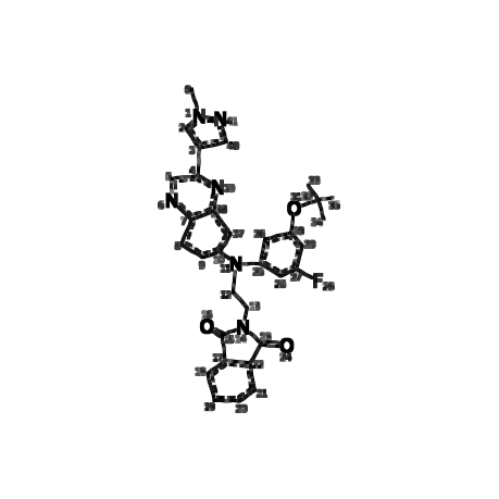 Cn1cc(-c2cnc3ccc(N(CCN4C(=O)c5ccccc5C4=O)c4cc(F)cc(OC(C)(C)C)c4)cc3n2)cn1